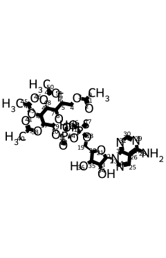 CC(=O)OC[C@H](F)C1O[C@@H](OP(=O)(O)OP(O)(=S)OC[C@H]2O[C@@H](n3ncc4c(N)ncnc43)C(O)C2O)C(OC(C)=O)C(OC(C)=O)[C@@H]1OC(C)=O